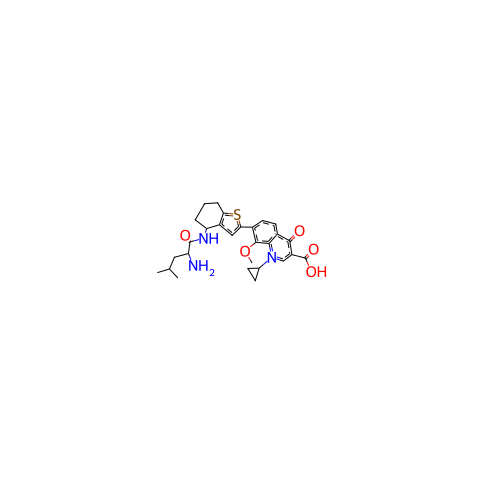 COc1c(-c2cc3c(s2)CCCC3NC(=O)C(N)CC(C)C)ccc2c(=O)c(C(=O)O)cn(C3CC3)c12